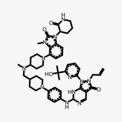 C=CCn1c(=O)c2c(n1-c1cccc(C(C)(C)O)n1)NC(Nc1ccc(N3CCC(CN(C)C4CCN(c5cccc6c5n(C)c(=O)n6C5CCCNC5=O)CC4)CC3)cc1)N=C2